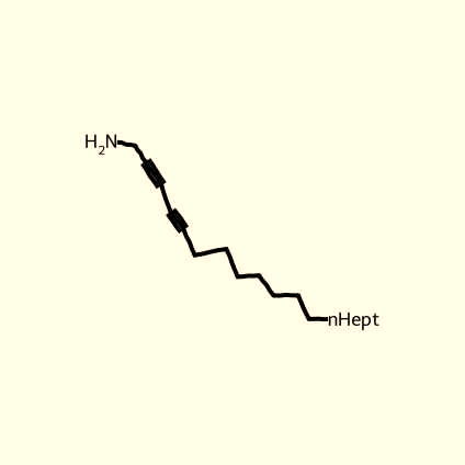 CCCCCCCCCCCCCCC#CC#CCN